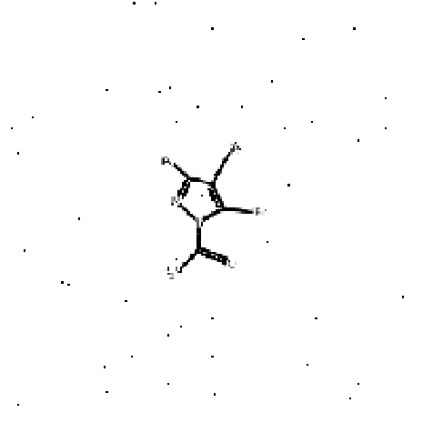 CC(C)c1nn(C(N)=O)c(C(C)C)c1C(C)C